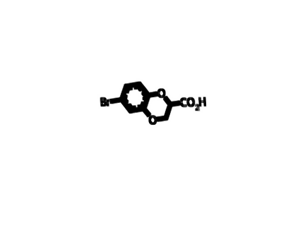 O=C(O)C1COc2cc(Br)ccc2O1